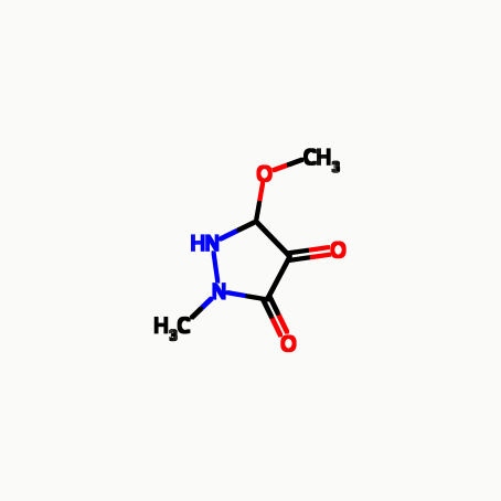 COC1NN(C)C(=O)C1=O